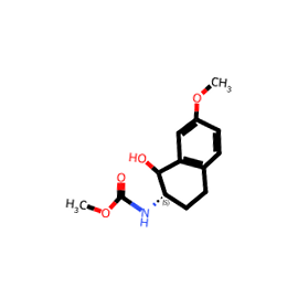 COC(=O)N[C@H]1CCc2ccc(OC)cc2C1O